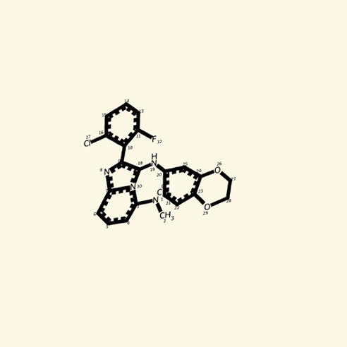 CN(C)c1cccc2nc(-c3c(F)cccc3Cl)c(Nc3ccc4c(c3)OCCO4)n12